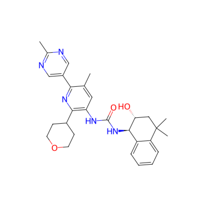 Cc1ncc(-c2nc(C3CCOCC3)c(NC(=O)N[C@@H]3c4ccccc4C(C)(C)C[C@H]3O)cc2C)cn1